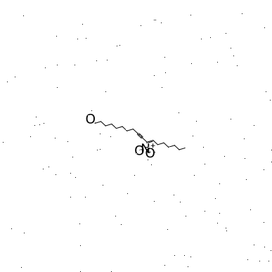 CCCCCCC=C(C#CCCCCCCCC=O)[N+](=O)[O-]